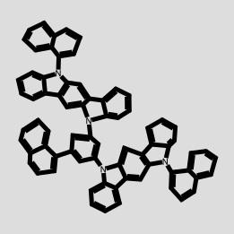 c1ccc2c(-c3cc(-n4c5ccccc5c5cc6c(cc54)c4ccccc4n6-c4cccc5ccccc45)cc(-n4c5ccccc5c5cc6c(cc54)c4ccccc4n6-c4cccc5ccccc45)c3)cccc2c1